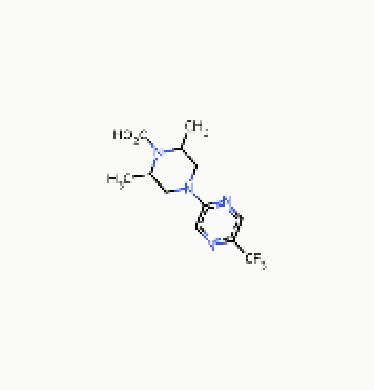 CC1CN(c2cnc(C(F)(F)F)cn2)CC(C)N1C(=O)O